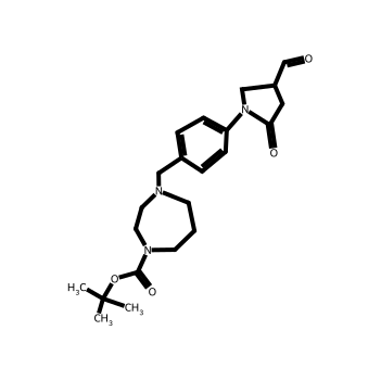 CC(C)(C)OC(=O)N1CCCN(Cc2ccc(N3CC(C=O)CC3=O)cc2)CC1